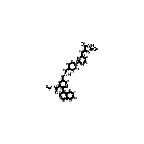 CCOC(=O)c1cc(CNCC2CCN(c3nccc(/C=C4\SC(=O)NC4=O)n3)CC2)cnc1-c1cncc2ccccc12